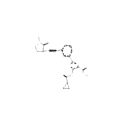 COC(=O)c1nc(-c2cccc(C#C[C@]3(O)CCN(C)C3=O)c2)sc1NC(=O)C1CC1